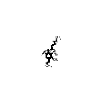 C=CCc1cc([N+](=O)[O-])c(NCCCCCC)c([N+](=O)[O-])c1C